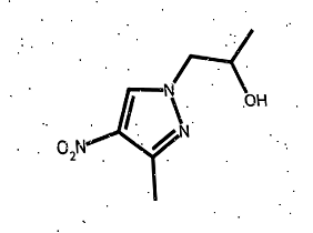 Cc1nn(CC(C)O)cc1[N+](=O)[O-]